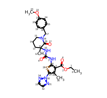 CCOC(=O)c1c(NC(=O)NC2(C)CCCN(Cc3ccc(OC)cc3)C2=O)sc(-n2nccn2)c1C